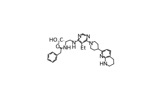 CCc1c(NC[C@H](NC(=O)Cc2ccccc2)C(=O)O)ncnc1N1CCC(c2ccc3c(n2)NCCC3)CC1